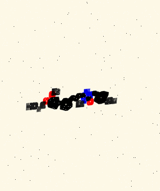 CCOc1cc(-c2cccc(CCCc3nn(Cc4ccc(C(C)(C)C)cc4)c(=O)n3CC)c2)ccc1OC(=O)O